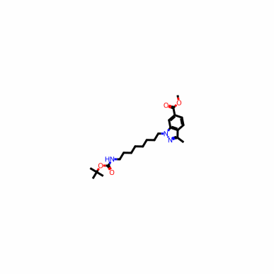 COC(=O)c1ccc2c(C)nn(CCCCCCCCNC(=O)OC(C)(C)C)c2c1